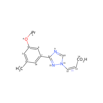 Cc1cc(OC(C)C)cc(-c2ncn(/C=C\C(=O)O)n2)c1